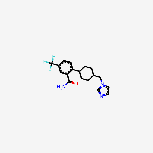 NC(=O)c1cc(C(F)(F)F)ccc1C1CCC(Cn2ccnc2)CC1